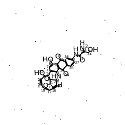 C[C@@H](O)[C@@]12O[C@]13c1cc(O)c4c(c1N[C@H]2C#C/C=C\C#C[C@H]3O)C(=O)c1ccc(NC(=O)[C@@H](N)CO)cc1C4=O